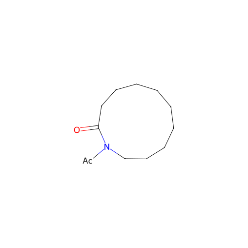 CC(=O)N1CCCCCCCCCC1=O